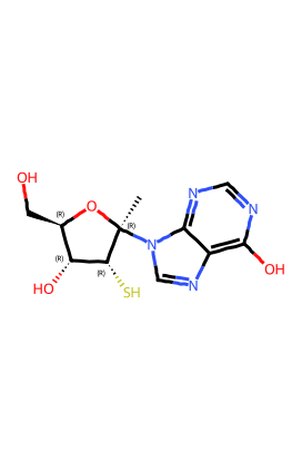 C[C@@]1(n2cnc3c(O)ncnc32)O[C@H](CO)[C@@H](O)[C@H]1S